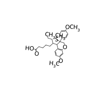 CCCC(CCCCC(=O)O)C1c2ccc(OC)cc2OCC1(SC)c1ccc(OC)cc1